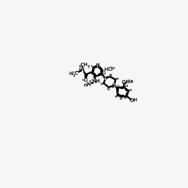 CCCNc1c(C(=O)N(C)C)cncc1N1CCN(c2ccc(O)cc2OC)CC1.Cl